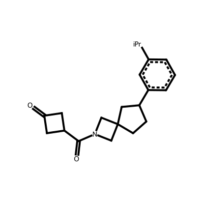 CC(C)c1cccc(C2CCC3(C2)CN(C(=O)C2CC(=O)C2)C3)c1